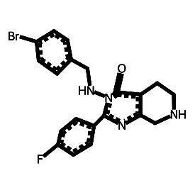 O=c1c2c(nc(-c3ccc(F)cc3)n1NCc1ccc(Br)cc1)CNCC2